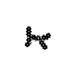 c1ccc2cc3cc(N(c4ccc5c(c4)oc4ccccc45)c4cc5sc6nc(N(c7ccc8cc9ccccc9cc8c7)c7ccc8c(c7)oc7ccccc78)cnc6c5cn4)ccc3cc2c1